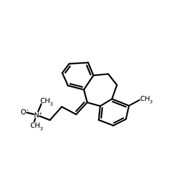 Cc1cccc2c1CCc1ccccc1C2=CCC[N+](C)(C)[O-]